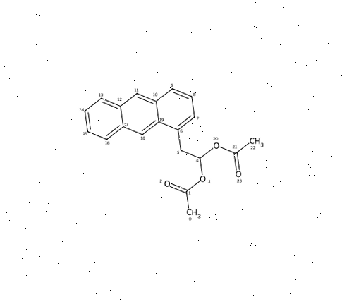 CC(=O)OC(Cc1cccc2cc3ccccc3cc12)OC(C)=O